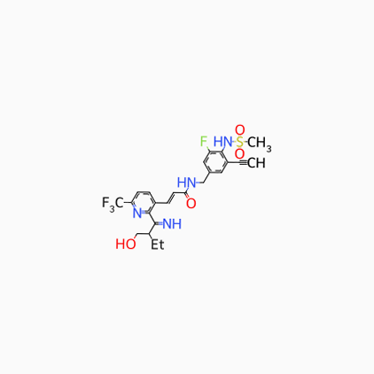 C#Cc1cc(CNC(=O)C=Cc2ccc(C(F)(F)F)nc2C(=N)C(CC)CO)cc(F)c1NS(C)(=O)=O